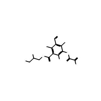 O=Cc1c(I)c(NC(=O)C(=O)O)c(I)c(C(=O)NCC(O)CO)c1I